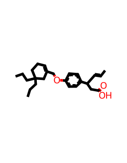 C/C=C/C(CC(=O)O)c1ccc(OCC2=CCCC(CCC)(CCC)C2)cc1